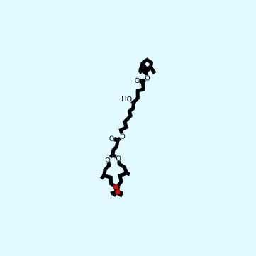 CC(C)=CCCC(C)CCOC(CCC(=O)OCCCCCCC(O)CCCC(=O)OC1CC2CCC1(C)C2(C)C)OCCC(C)CCC=C(C)C